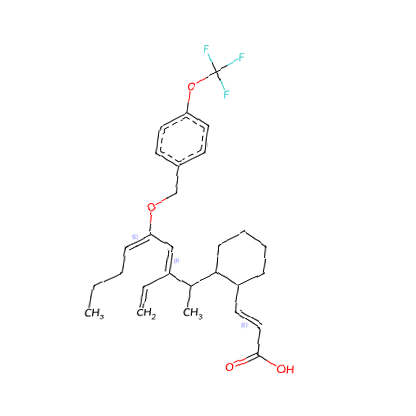 C=C/C(=C\C(=C/CCC)OCc1ccc(OC(F)(F)F)cc1)C(C)C1CCCCC1/C=C/C(=O)O